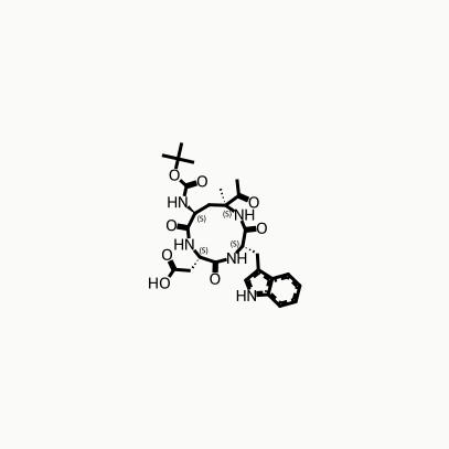 CC(=O)[C@]1(C)C[C@H](NC(=O)OC(C)(C)C)C(=O)N[C@@H](CC(=O)O)C(=O)N[C@@H](Cc2c[nH]c3ccccc23)C(=O)N1